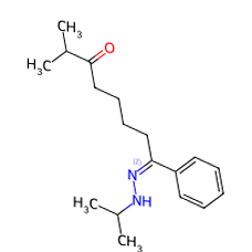 CC(C)N/N=C(/CCCCC(=O)C(C)C)c1ccccc1